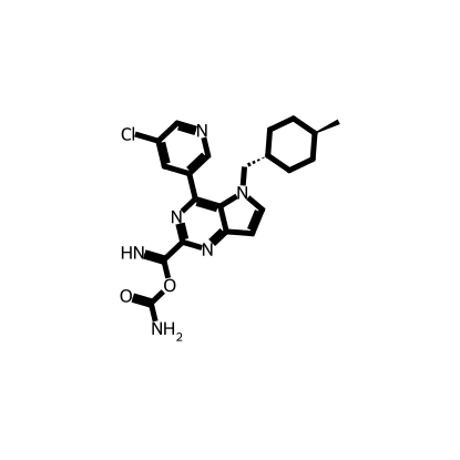 C[C@H]1CC[C@H](Cn2ccc3nc(C(=N)OC(N)=O)nc(-c4cncc(Cl)c4)c32)CC1